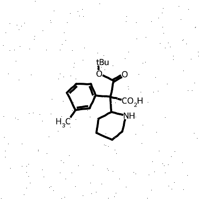 Cc1cccc(C(C(=O)O)(C(=O)OC(C)(C)C)C2CCCCN2)c1